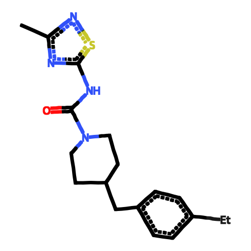 CCc1ccc(CC2CCN(C(=O)Nc3nc(C)ns3)CC2)cc1